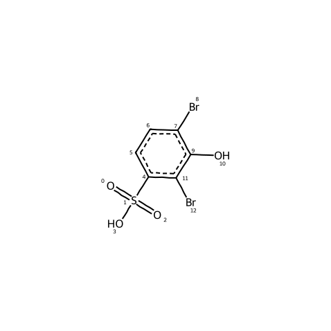 O=S(=O)(O)c1ccc(Br)c(O)c1Br